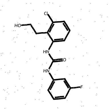 O=C(Nc1cccc(F)c1)Nc1cccc(Cl)c1CCO